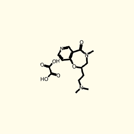 CN(C)CCC1CN(C)C(=O)c2cnccc2O1.O=C(O)C(=O)O